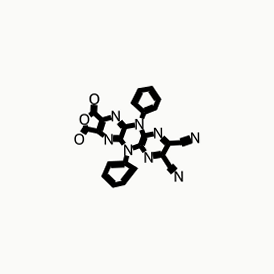 N#Cc1nc2c(nc1C#N)n(-c1ccccc1)c1nc3c(=O)oc(=O)c3nc1n2-c1ccccc1